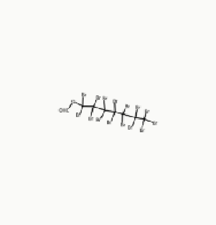 O=[C]OC(Br)(Br)C(Br)(Br)C(Br)(Br)C(Br)(Br)C(Br)(Br)C(Br)(Br)C(Br)(Br)Br